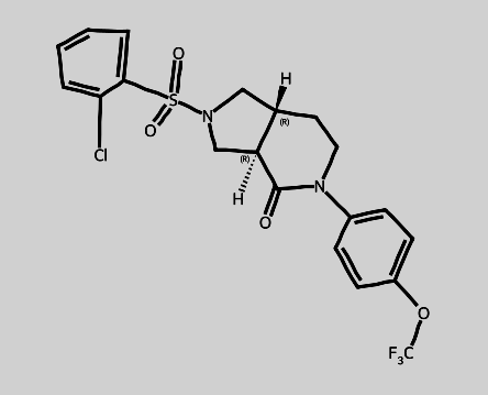 O=C1[C@H]2CN(S(=O)(=O)c3ccccc3Cl)C[C@@H]2CCN1c1ccc(OC(F)(F)F)cc1